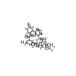 C=CCC(NC(=O)OC(C)(C)C)c1cc(-c2cc(F)ccc2NC(=O)[C@H](C)C=C)ncn1